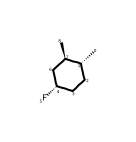 C[C@@H]1CC[C@H](F)C[C@H]1C